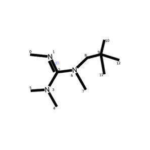 C/N=C(\N(C)C)N(C)CC(C)(C)C